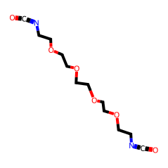 O=C=NCCOCCOCCOCCOCCN=C=O